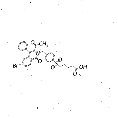 CC(=O)c1c(-c2ccccc2)c2cc(Br)ccc2c(=O)n1Cc1ccc(S(=O)(=O)CCCCC(=O)O)cc1